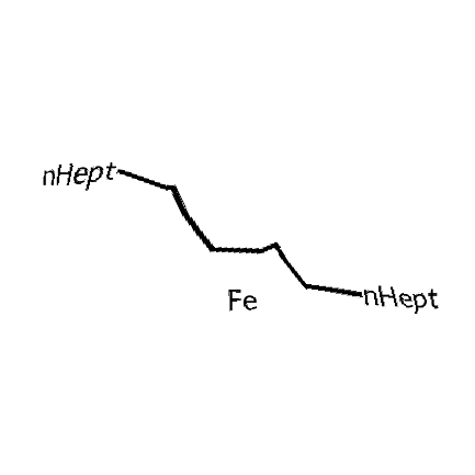 [CH2]CCCCCCCCCCCCCCCCC.[Fe]